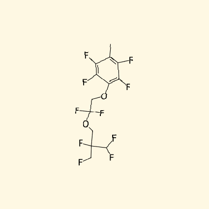 Cc1c(F)c(F)c(OCC(F)(F)OCC(F)(CF)C(F)F)c(F)c1F